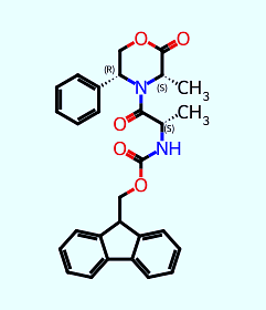 C[C@H](NC(=O)OCC1c2ccccc2-c2ccccc21)C(=O)N1[C@@H](C)C(=O)OC[C@H]1c1ccccc1